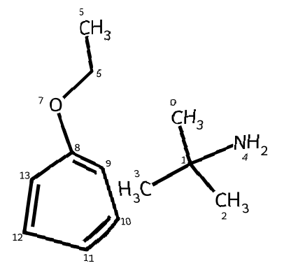 CC(C)(C)N.CCOc1ccccc1